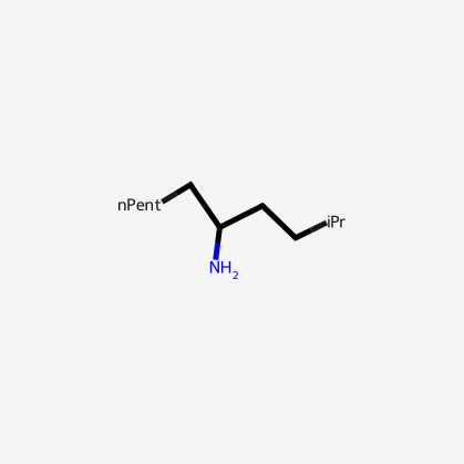 CCCCCCC(N)CCC(C)C